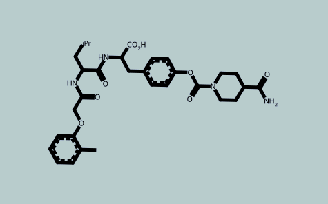 Cc1ccccc1OCC(=O)NC(CC(C)C)C(=O)NC(Cc1ccc(OC(=O)N2CCC(C(N)=O)CC2)cc1)C(=O)O